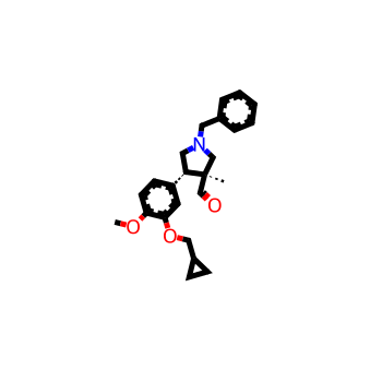 COc1ccc([C@@H]2CN(Cc3ccccc3)C[C@@]2(C)C=O)cc1OCC1CC1